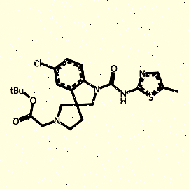 Cc1cnc(NC(=O)N2CC3(CCN(CC(=O)OC(C)(C)C)C3)c3cc(Cl)ccc32)s1